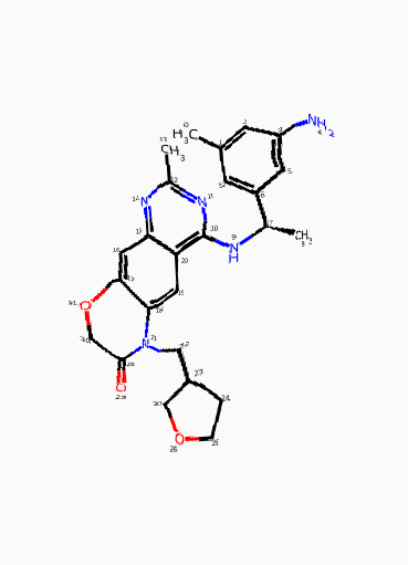 Cc1cc(N)cc([C@@H](C)Nc2nc(C)nc3cc4c(cc23)N(CC2CCOC2)C(=O)CO4)c1